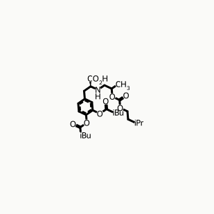 CCC(C)C(=O)Oc1ccc(C[C@H](NCC(C)OC(=O)OCCC(C)C)C(=O)O)cc1OC(=O)C(C)CC